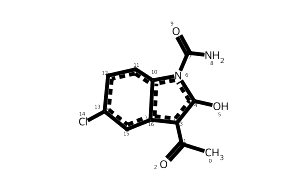 CC(=O)c1c(O)n(C(N)=O)c2ccc(Cl)cc12